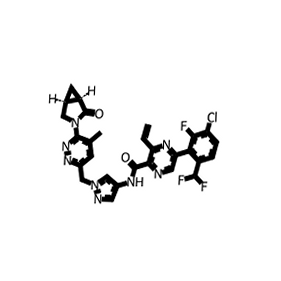 C=Cc1nc(-c2c(C(F)F)ccc(Cl)c2F)cnc1C(=O)Nc1cnn(Cc2cc(C)c(N3C[C@H]4C[C@H]4C3=O)nn2)c1